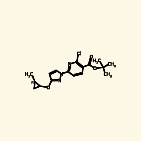 C[C@@H]1CC1Oc1ccn(-c2ccc(C(=O)OC(C)(C)C)c(Cl)n2)n1